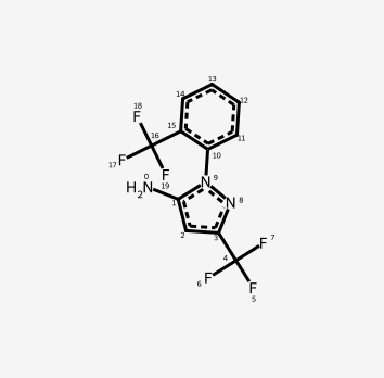 Nc1cc(C(F)(F)F)nn1-c1ccccc1C(F)(F)F